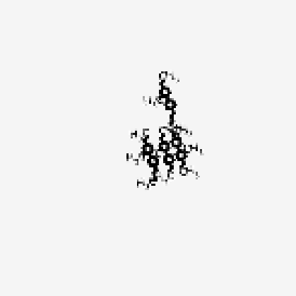 CCCC1CCC(C2CCC(CC)CC2)C(C)C1.CCCC1CCC(C2CCC(CCC)CC2C)CC1.CCCCC1CCC(C2CCC(CCC)CC2C)CC1.CCCCCC1CCC(C2CCC(CCC)CC2C)CC1